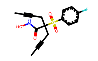 CC#CCC(CC#CC)(C(=O)NO)S(=O)(=O)c1ccc(F)cc1